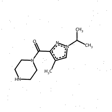 Cc1cn(C(C)C)nc1C(=O)N1CCNCC1